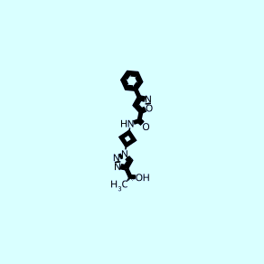 C[C@@H](O)c1cn([C@H]2C[C@@H](NC(=O)c3cc(-c4ccccc4)no3)C2)nn1